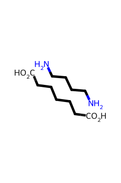 NCCCCN.O=C(O)CCCCCC(=O)O